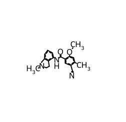 CCOc1cc(C)c(C#N)cc1C(=O)Nc1cccc2c1CCN(C)C2